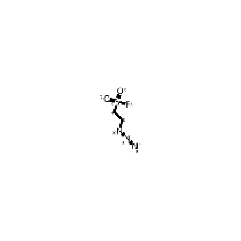 [N-]=[N+]=NCCS(=O)(=O)F